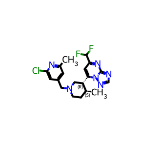 Cc1cc(CN2CC[C@H](C)[C@@H](c3cc(C(F)F)nc4ncnn34)C2)cc(Cl)n1